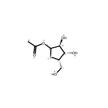 CC(=O)OC1S[C@@H](CO)[C@@H](O)[C@@H]1O